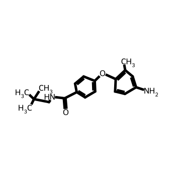 Cc1cc(N)ccc1Oc1ccc(C(=O)NCC(C)(C)C)cc1